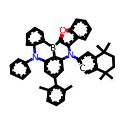 Cc1cccc(C)c1-c1cc2c3c(c1)N(c1ccc4c(c1)C(C)(C)CCC4(C)C)c1c(oc4ccccc14)B3c1ccccc1N2c1ccccc1